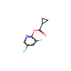 O=C(Oc1ncc(Cl)cc1F)C1CC1